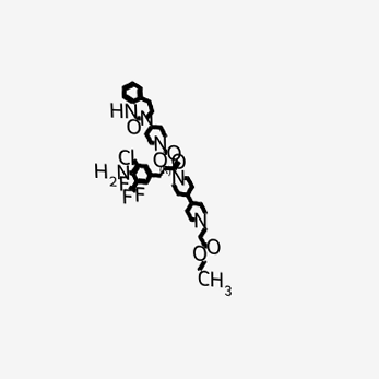 CCCOC(=O)CCN1CCC(C2CCN(C(=O)[C@@H](Cc3cc(Cl)c(N)c(C(F)(F)F)c3)OC(=O)N3CCC(N4CCc5ccccc5NC4=O)CC3)CC2)CC1